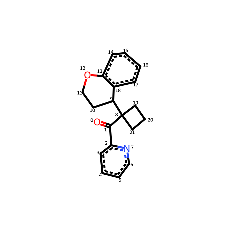 O=C(c1ccccn1)C1(C2CCOc3ccccc32)CCC1